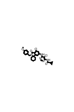 COc1ccc(CN2C(=O)c3c(Cl)cc(Nc4ncnc(NC(=O)C5CC5)c4Cl)cc3C23CCCCC3)cc1